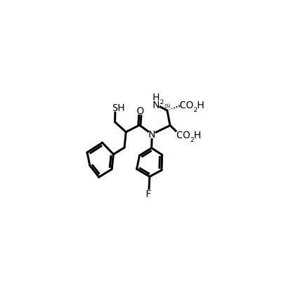 N[C@H](C(=O)O)C(C(=O)O)N(C(=O)C(CS)Cc1ccccc1)c1ccc(F)cc1